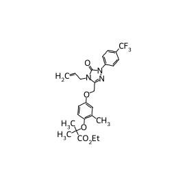 C=CCn1c(COc2ccc(OC(C)(C)C(=O)OCC)c(C)c2)nn(-c2ccc(C(F)(F)F)cc2)c1=O